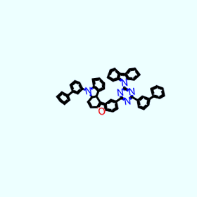 C1=CC2C(c3ccccc3N2c2cccc(-c3ccccc3)c2)c2c1oc1ccc(-c3nc(-c4cccc(-c5ccccc5)c4)nc(-n4c5ccccc5c5ccccc54)n3)cc21